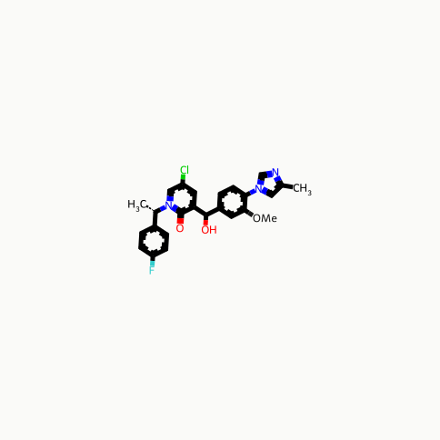 COc1cc(C(O)c2cc(Cl)cn([C@@H](C)c3ccc(F)cc3)c2=O)ccc1-n1cnc(C)c1